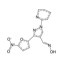 O=[N+]([O-])c1ccc(-c2nn(-c3ccccn3)cc2C=NO)o1